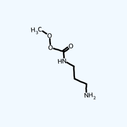 COOC(=O)NCCCN